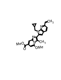 C=Cc1ccc2cc(-c3nc4cc(C(=O)OC)cc(OC)n4c3C)n(CC3CC3)c2n1